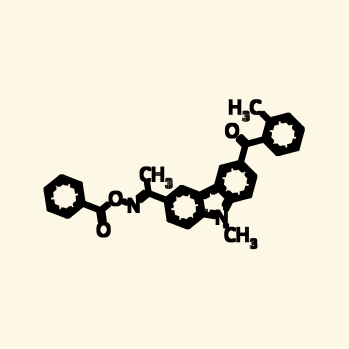 CC(=NOC(=O)c1ccccc1)c1ccc2c(c1)c1cc(C(=O)c3ccccc3C)ccc1n2C